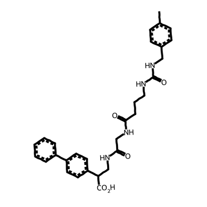 Cc1ccc(CNC(=O)NCCCC(=O)NCC(=O)NCC(C(=O)O)c2ccc(-c3ccccc3)cc2)cc1